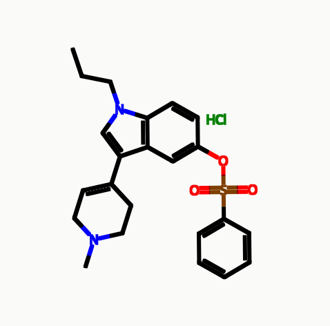 CCCn1cc(C2=CCN(C)CC2)c2cc(OS(=O)(=O)c3ccccc3)ccc21.Cl